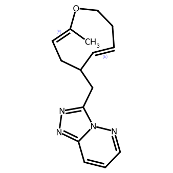 C/C1=C\CC(Cc2nnc3cccnn23)/C=C/CCO1